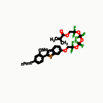 C=C(C)C(=O)OCC(F)(F)OC(F)(F)OC(F)(F)OC(F)(F)COc1ccc2cc(-c3ccc(CCCCC)cc3OC)sc2c1